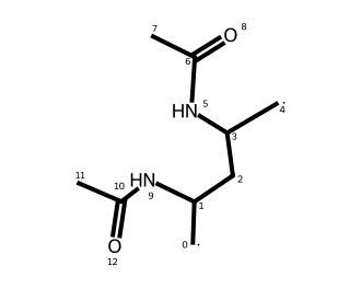 [CH2]C(CC([CH2])NC(C)=O)NC(C)=O